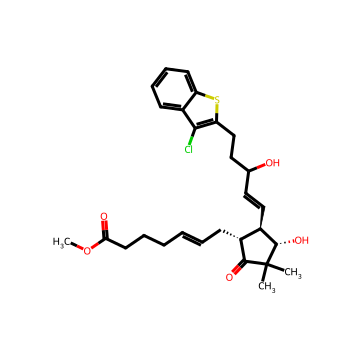 COC(=O)CCCC=CC[C@H]1C(=O)C(C)(C)[C@@H](O)[C@@H]1C=CC(O)CCc1sc2ccccc2c1Cl